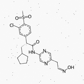 CS(=O)(=O)c1ccc([C@@H](CC2CCCC2)C(=O)Nc2cnc(C/C=N\O)cn2)cc1Cl